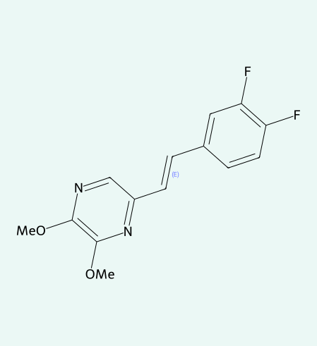 COc1ncc(/C=C/c2ccc(F)c(F)c2)nc1OC